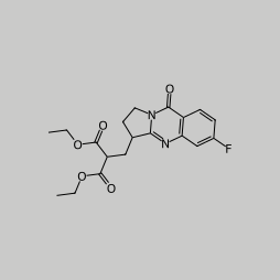 CCOC(=O)C(CC1CCn2c1nc1cc(F)ccc1c2=O)C(=O)OCC